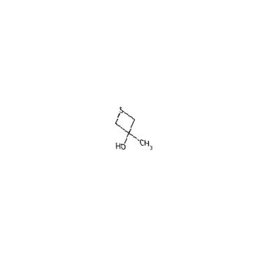 CC1(O)CSC1